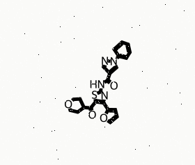 O=C(Nc1nc(-c2ccco2)c(C(=O)C2CCOCC2)s1)c1cnn(-c2ccccc2)c1